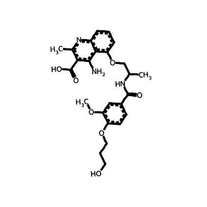 COc1cc(C(=O)NC(C)COc2cccc3nc(C)c(C(=O)O)c(N)c23)ccc1OCCCO